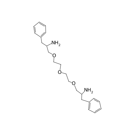 NC(COCCOCCOCC(N)Cc1ccccc1)Cc1ccccc1